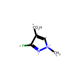 Cn1cc(C(=O)O)c(F)n1